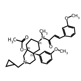 COc1cccc(C=CC(=O)N(C)[C@@H]2CC[C@]3(OC(C)=O)CN(CC4CC4)CC[C@@]3(c3cccc(OC)c3)C2)c1